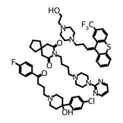 O=C(CCCN1CCC(O)(c2ccc(Cl)cc2)CC1)c1ccc(F)cc1.O=C1CC2(CCCC2)CC(=O)N1CCCCN1CCN(c2ncccn2)CC1.OCCN1CCN(CC/C=C2/c3ccccc3Sc3ccc(C(F)(F)F)cc32)CC1